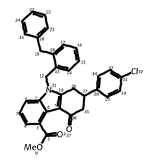 COC(=O)c1cccc2c1c1c(n2Cc2ccccc2Cc2ccccc2)CC(c2ccc(Cl)cc2)CC1=O